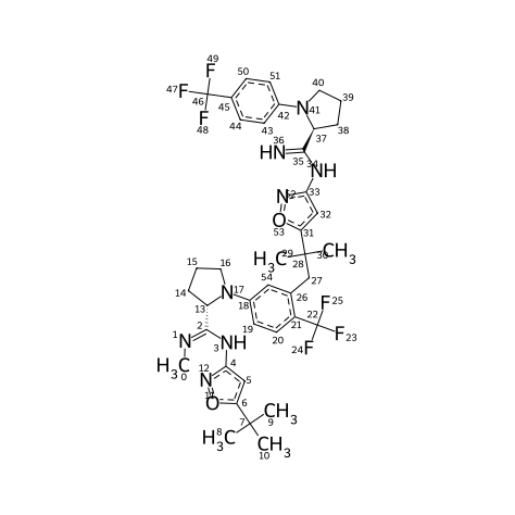 C/N=C(\Nc1cc(C(C)(C)C)on1)[C@@H]1CCCN1c1ccc(C(F)(F)F)c(CC(C)(C)c2cc(NC(=N)[C@@H]3CCCN3c3ccc(C(F)(F)F)cc3)no2)c1